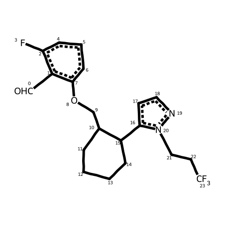 O=Cc1c(F)cccc1OCC1CCCCC1c1ccnn1CCC(F)(F)F